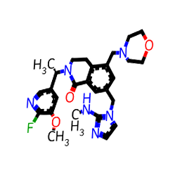 CNc1nccn1Cc1cc(CN2CCOCC2)c2c(c1)C(=O)N([C@@H](C)c1cnc(F)c(OC)c1)CC2